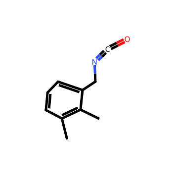 Cc1cccc(CN=C=O)c1C